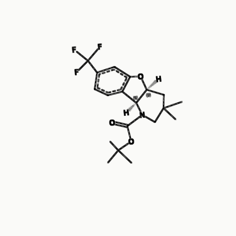 CC1(C)C[C@@H]2Oc3cc(C(F)(F)F)ccc3[C@@H]2N(C(=O)OC(C)(C)C)C1